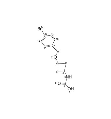 O=C(O)NC1CC(OCc2ccc(Br)cc2)C1